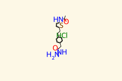 CC(=O)Nc1ccc(CCc2ccc(CC(=O)NN)cc2)s1.Cl